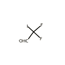 O=[C]C(F)(F)I